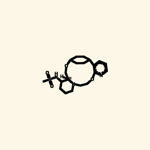 CS(=O)(=O)NC1CCCN2CCOc3ncccc3C3CCC(CC3)OC[C@@H]12